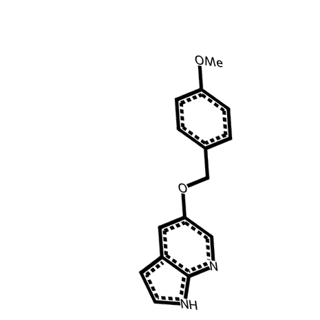 COc1ccc(COc2cnc3[nH]ccc3c2)cc1